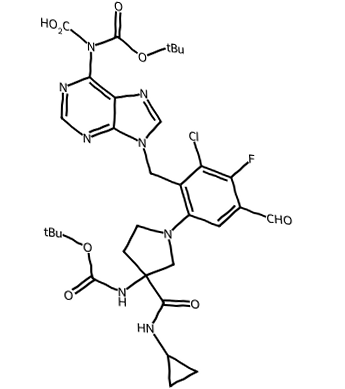 CC(C)(C)OC(=O)NC1(C(=O)NC2CC2)CCN(c2cc(C=O)c(F)c(Cl)c2Cn2cnc3c(N(C(=O)O)C(=O)OC(C)(C)C)ncnc32)C1